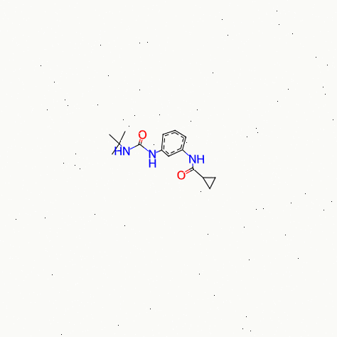 CC(C)(C)NC(=O)Nc1cccc(NC(=O)C2CC2)c1